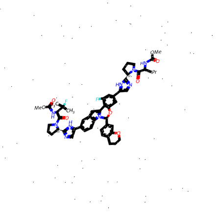 COC(=O)NC(C(=O)N1CCC[C@H]1c1ncc(-c2cc(F)c3c(c2)OC(c2ccc4c(c2)OCCC4)n2c-3cc3cc(-c4cnc([C@@H]5CCCN5C(=O)C(NC(=O)OC)C(C)(C)F)[nH]4)ccc32)[nH]1)C(C)C